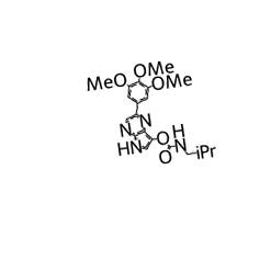 COc1cc(-c2cnc3[nH]cc(OC(=O)NCC(C)C)c3n2)cc(OC)c1OC